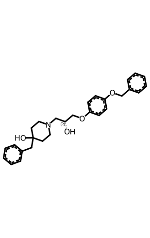 O[C@@H](COc1ccc(OCc2ccccc2)cc1)CN1CCC(O)(Cc2ccccc2)CC1